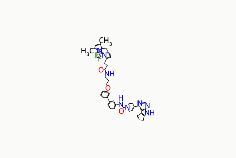 CC1=CC(C)=[N+]2C1=Cc1ccc(CCC(=O)NCCCOc3cccc(-c4cccc(NC(=O)N5CC=C(c6ncnc7[nH]c8c(c67)CCC8)CC5)c4)c3)n1[B-]2(F)F